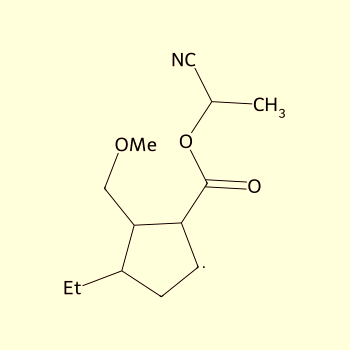 [CH2]CC1C[CH]C(C(=O)OC(C)C#N)C1COC